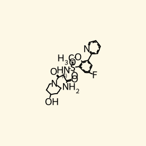 COc1c(-c2ccccn2)cc(F)cc1S(=O)(=O)N[C@@H](C(N)=O)C(=O)N1CCC(O)CC1